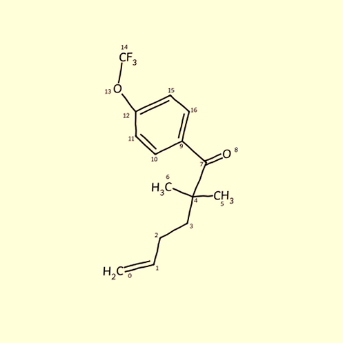 C=CCCC(C)(C)C(=O)c1ccc(OC(F)(F)F)cc1